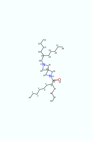 CCCCCCC(CCCC)C(=O)N1CC2(CN(CC(CCCC)CCCCC)C2)C1